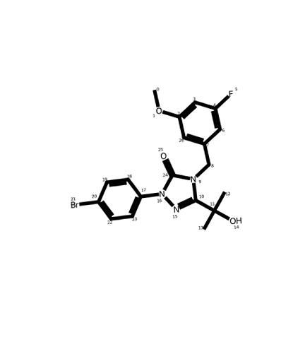 COc1cc(F)cc(Cn2c(C(C)(C)O)nn(-c3ccc(Br)cc3)c2=O)c1